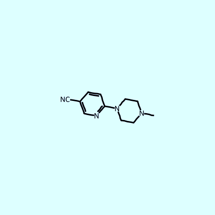 CN1CCN(c2ccc(C#N)cn2)CC1